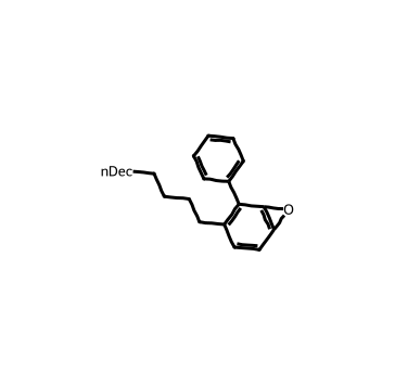 CCCCCCCCCCCCCCc1ccc2c(c1-c1ccccc1)O2